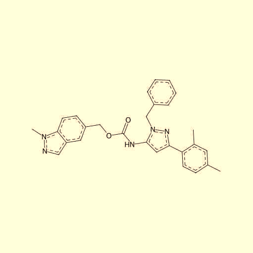 Cc1ccc(-c2cc(NC(=O)OCc3ccc4c(cnn4C)c3)n(Cc3ccccc3)n2)c(C)c1